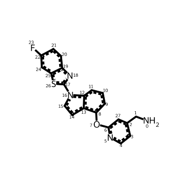 NCc1ccnc(Oc2cccc3c2ccn3-c2nc3ccc(F)cc3s2)c1